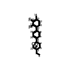 CCC12CCC(c3ccc(-c4ccc(C)c(F)c4F)cc3)(OC1)OC2